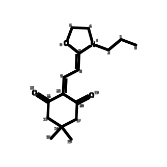 CCCN1CCO/C1=C\C=C1C(=O)CC(C)(C)CC1=O